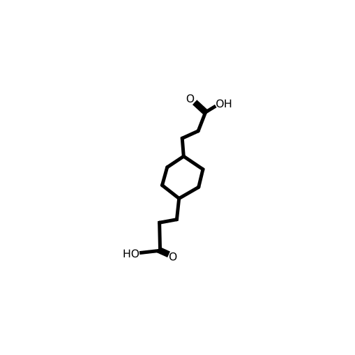 O=C(O)CCC1CCC(CCC(=O)O)CC1